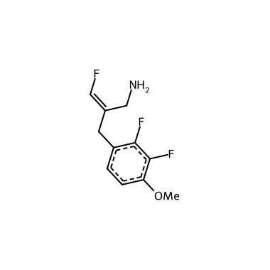 COc1ccc(CC(=CF)CN)c(F)c1F